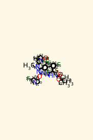 CCN(c1nc(OC[C@@]23CCCN2C[C@H](F)C3)nc2c(F)c(-c3ccc(F)c4sc(NC(=O)OC(C)(C)C)c(C#N)c34)c(C(F)(F)F)cc12)[C@H]1C[C@H]2CCC(=O)N2C1